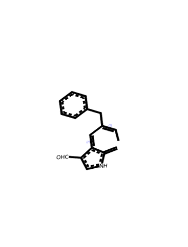 C=c1[nH]cc(C=O)/c1=C/C(=C\C)Cc1ccccc1